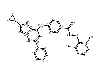 O=C(NCc1c(F)cccc1F)c1ccc(Nc2cc(-c3ccccc3)nc3cc(C4CC4)nn23)cc1